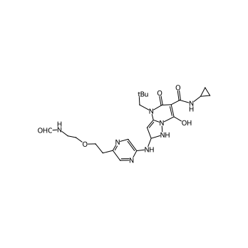 CC(C)(C)CN1C(=O)C(C(=O)NC2CC2)=C(O)N2NC(Nc3cnc(CCOCCNC=O)cn3)C=C12